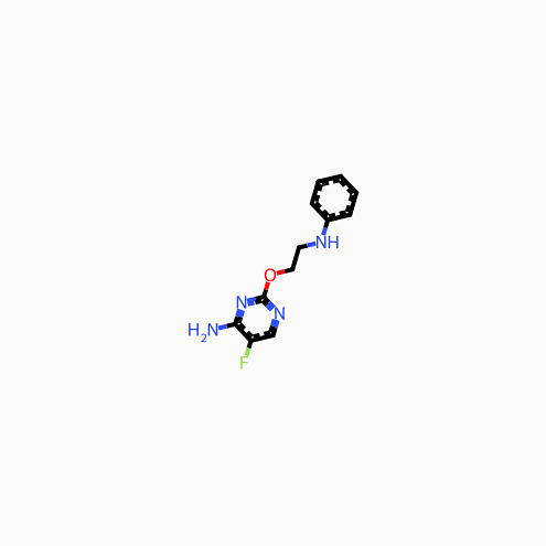 Nc1nc(OCCNc2ccccc2)ncc1F